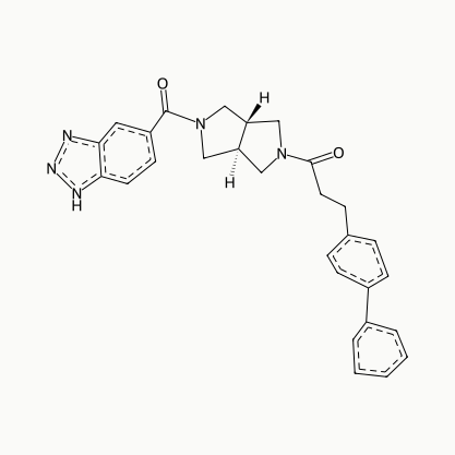 O=C(CCc1ccc(-c2ccccc2)cc1)N1C[C@H]2CN(C(=O)c3ccc4[nH]nnc4c3)C[C@@H]2C1